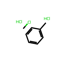 CCl.Cc1ccccc1.Cl.Cl